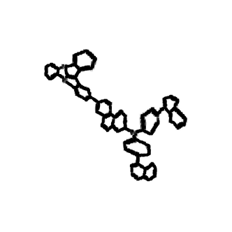 c1ccc2c(-c3ccc(N(c4ccc(-c5cccc6ccccc56)cc4)c4ccc5c(ccc6cc(-c7ccc8c(c7)c7c9ccccc9n9c%10ccccc%10n8c79)ccc65)c4)cc3)cccc2c1